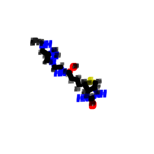 CC(C)NCc1cn(CCNC(=O)CCC[C@@H]2SCC3NC(=O)NC32)nn1